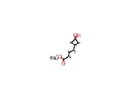 CC(C)(C)OC(=O)CCCC1CC(O)C1